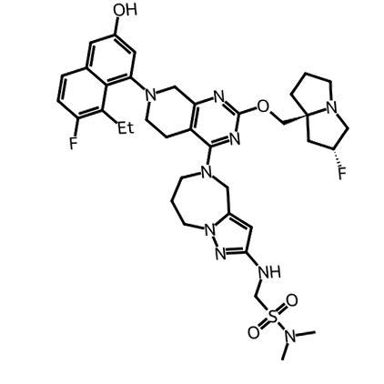 CCc1c(F)ccc2cc(O)cc(N3CCc4c(nc(OC[C@@]56CCCN5C[C@H](F)C6)nc4N4CCCn5nc(NCS(=O)(=O)N(C)C)cc5C4)C3)c12